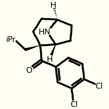 CC(C)C[C@@]1(C(=O)c2ccc(Cl)c(Cl)c2)CC[C@H]2CC[C@H]1N2